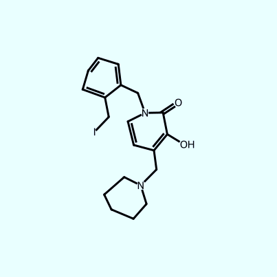 O=c1c(O)c(CN2CCCCC2)ccn1Cc1ccccc1CI